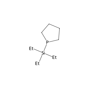 CC[Si](CC)(CC)P1CCCC1